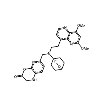 COc1cc(OC)c2nccc(CCN(Cc3ccc4c(n3)OC(=O)CN4)C34CCC(CC3)OC4)c2n1